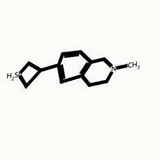 CN1CCc2cc(C3C[SiH2]C3)ccc2C1